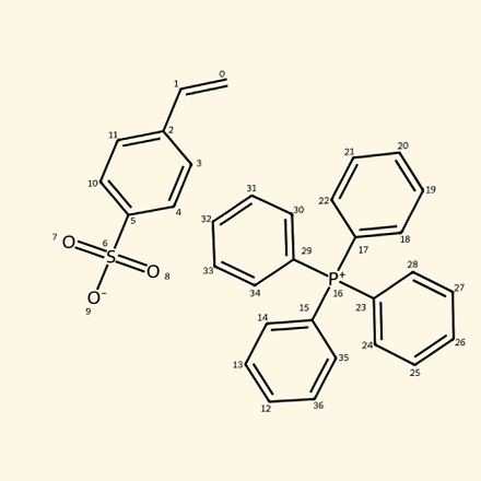 C=Cc1ccc(S(=O)(=O)[O-])cc1.c1ccc([P+](c2ccccc2)(c2ccccc2)c2ccccc2)cc1